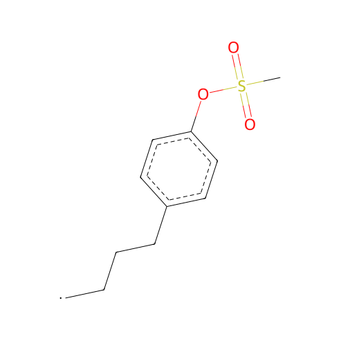 [CH2]CCCc1ccc(OS(C)(=O)=O)cc1